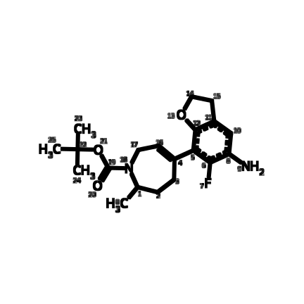 CC1CCC(c2c(F)c(N)cc3c2OCC3)=CCN1C(=O)OC(C)(C)C